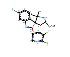 CCOC(=O)[C@@H]1NC(C)(C)[C@]2(c3ccc(Cl)cc3NC2O)[C@H]1c1ccnc(Cl)c1F